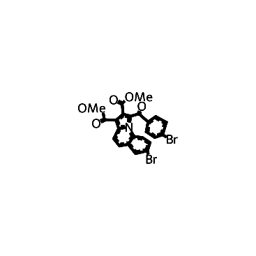 COC(=O)c1c(C(=O)OC)c2ccc3cc(Br)ccc3n2c1C(=O)c1ccc(Br)cc1